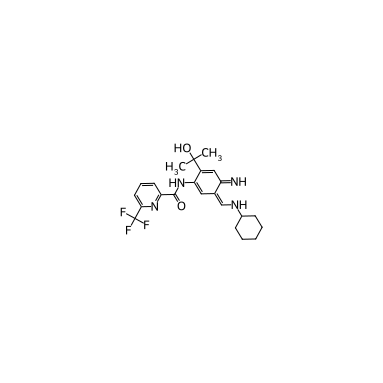 CC(C)(O)C1=CC(=N)/C(=C\NC2CCCCC2)C=C1NC(=O)c1cccc(C(F)(F)F)n1